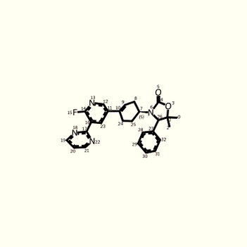 CC1(C)OC(=O)N([C@@H]2CC=C(c3cnc(F)c(-c4ncccn4)c3)CC2)C1c1ccccc1